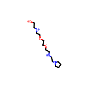 OCCNCCOCCOCCNCCN1CCCC1